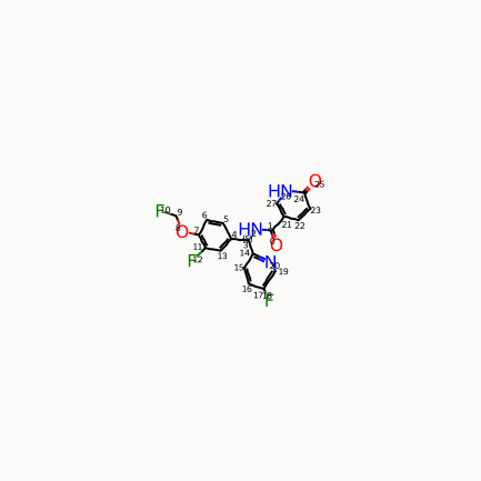 O=C(N[C@@H](c1ccc(OCF)c(F)c1)c1ccc(F)cn1)c1ccc(=O)[nH]c1